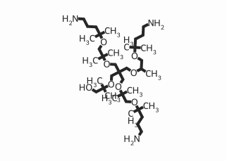 CC(COC(C)(C)CCCN)OCC(COC(C)(C)CO)(COC(C)(C)COC(C)(C)CCCN)COC(C)(C)COC(C)(C)CCCN